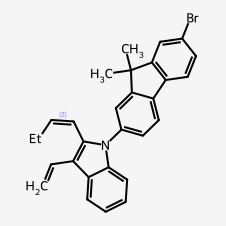 C=Cc1c(/C=C\CC)n(-c2ccc3c(c2)C(C)(C)c2cc(Br)ccc2-3)c2ccccc12